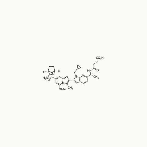 COc1cc(C(=O)N2[C@H]3CC[C@@H]2[C@H](N)C3)cc2nc(-c3cc4ccc([C@@H](C)NC(=O)CCC(=O)O)nc4n3CC3CC3)c(C)n12